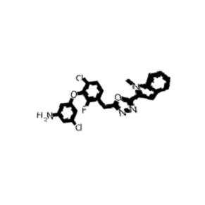 Cn1c(-c2nnc(Cc3ccc(Cl)c(Oc4cc(N)cc(Cl)c4)c3F)o2)cc2ccccc21